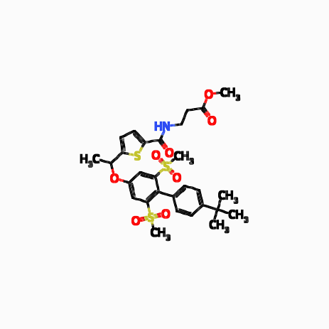 COC(=O)CCNC(=O)c1ccc(C(C)Oc2cc(S(C)(=O)=O)c(-c3ccc(C(C)(C)C)cc3)c(S(C)(=O)=O)c2)s1